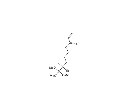 C=CC(=O)OCCCC(C)(CC)[Si](OC)(OC)OC